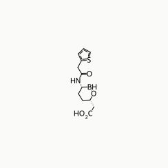 O=C(O)C[C@@H]1CC[C@H](NC(=O)Cc2cccs2)BO1